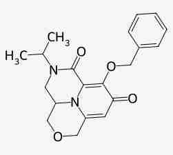 CC(C)N1CC2COCc3cc(=O)c(OCc4ccccc4)c(n32)C1=O